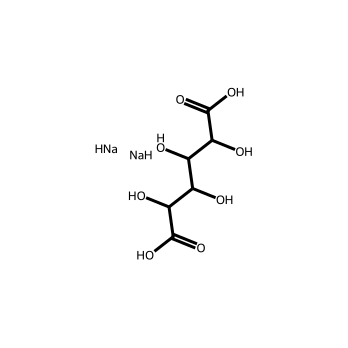 O=C(O)C(O)C(O)C(O)C(O)C(=O)O.[NaH].[NaH]